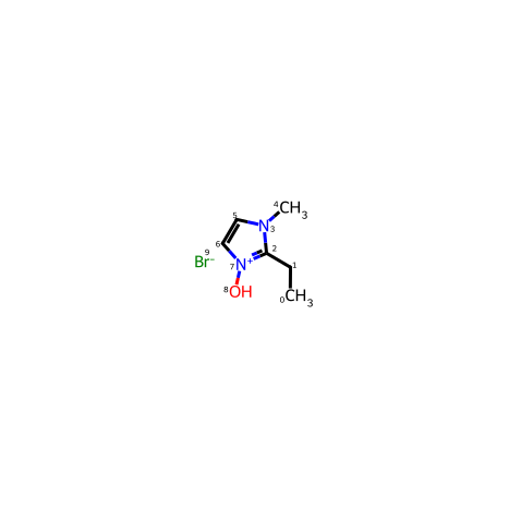 CCc1n(C)cc[n+]1O.[Br-]